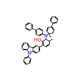 CC1C=CC(c2ccc3c(c2)c2ccccc2n3-c2ccccc2)=C(O)C1N(c1ccc(-c2ccccc2)cc1)C1(C)C=CC(c2ccccc2)=CC1